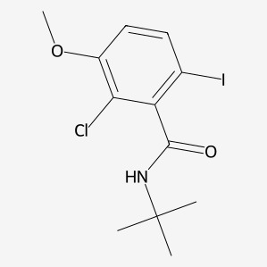 COc1ccc(I)c(C(=O)NC(C)(C)C)c1Cl